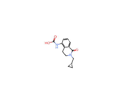 O=C(O)Nc1cccc2c1CCN(CC1CC1)C2=O